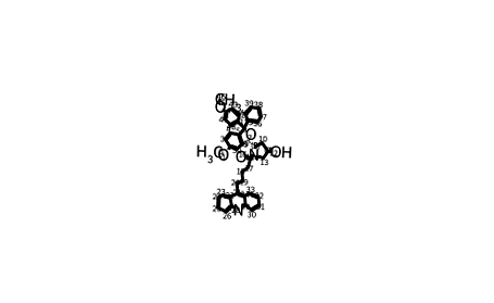 COc1ccc(C(OC[C@@H]2C[C@@H](O)CN2C(=O)CCCCc2c3ccccc3nc3ccccc23)(c2ccccc2)c2ccc(OC)cc2)cc1